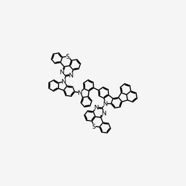 C1=CC2=CC=CC3c4ccc5c(c4C(=C1)C23)c1ccc(-c2cccc3c2c2ccccc2n3-c2ccc3c4ccccc4n(-c4nc6c7c(cccc7n4)Sc4ccccc4-6)c3c2)cc1n5-c1nc2c3c(cccc3n1)Sc1ccccc1-2